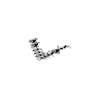 C=C(C)C(=O)O.C=C(C)C(=O)O.C=C(C)C(=O)O.C=C(C)C(=O)O.C=C(C)C(=O)O.C=C(C)C(=O)O.C=CCOCC=C.CC=C(C)C(=O)O.CCC(CO)(CO)CO.CCC(CO)(CO)CO.CCC(CO)(CO)CO